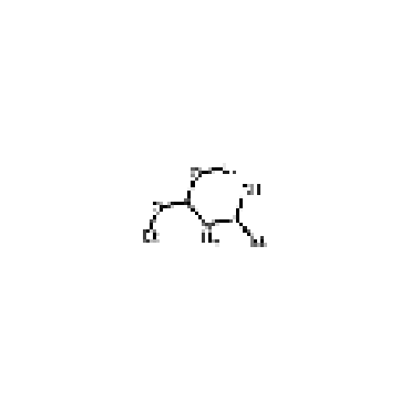 CCOC(OCC)[SiH2]C(S)CC